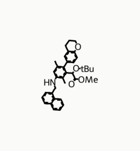 COC(=O)C(OC(C)(C)C)c1c(C)c(NCc2cccc3ccccc23)cc(C)c1-c1ccc2c(c1)CCCO2